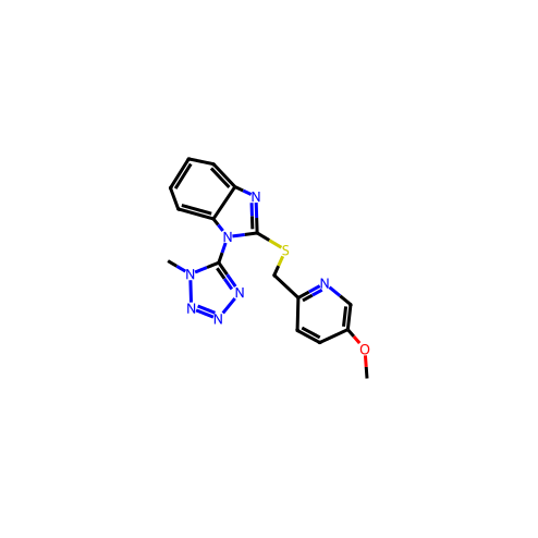 COc1ccc(CSc2nc3ccccc3n2-c2nnnn2C)nc1